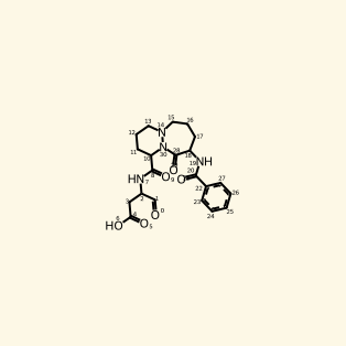 O=CC(CC(=O)O)NC(=O)C1CCCN2CCCC(NC(=O)c3ccccc3)C(=O)N12